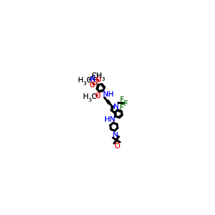 COc1cc(S(=O)(=O)N(C)C)ccc1NCC#Cc1cc2c(N[C@H]3CC[C@@H](N4CC5(COC5)C4)CC3)cccc2n1CC(F)(F)F